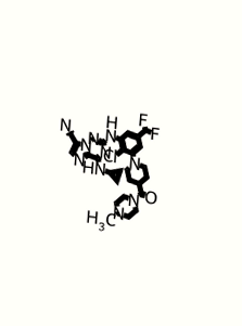 CN1CCN(C(=O)C2CCN(c3cc(C(F)F)cc(Nc4nc(NC5CC5)c5ncc(C#N)n5n4)c3Cl)CC2)CC1